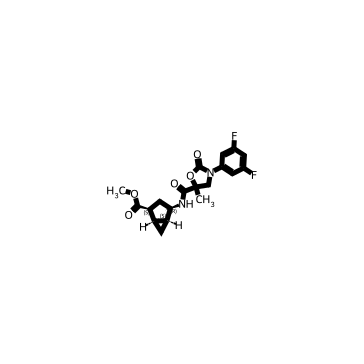 COC(=O)[C@H]1C[C@@H](NC(=O)C2(C)CN(c3cc(F)cc(F)c3)C(=O)O2)[C@H]2C[C@H]21